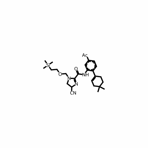 CC(=O)c1ccc(C2=CCC(C)(C)CC2)c(NC(=O)C2=NC(C#N)CN2COCC[Si](C)(C)C)c1